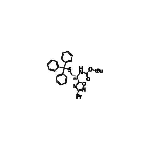 CC(C)c1noc([C@H](CSC(c2ccccc2)(c2ccccc2)c2ccccc2)NC(=O)OC(C)(C)C)n1